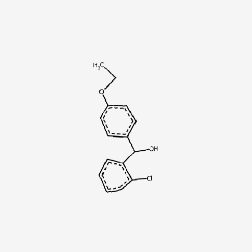 CCOc1ccc(C(O)c2ccccc2Cl)cc1